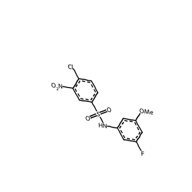 COc1cc(F)cc(NS(=O)(=O)c2ccc(Cl)c([N+](=O)[O-])c2)c1